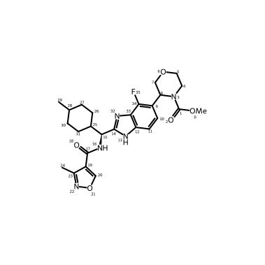 COC(=O)N1CCOCC1c1ccc2[nH]c([C@@H](NC(=O)c3conc3C)C3CCC(C)CC3)nc2c1F